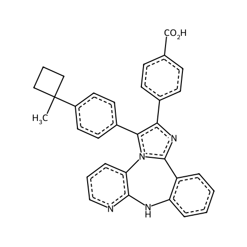 CC1(c2ccc(-c3c(-c4ccc(C(=O)O)cc4)nc4n3-c3cccnc3Nc3ccccc3-4)cc2)CCC1